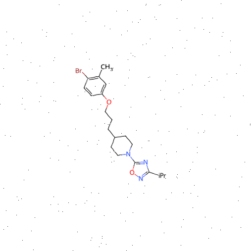 Cc1cc(OCCCC2CCN(c3nc(C(C)C)no3)CC2)ccc1Br